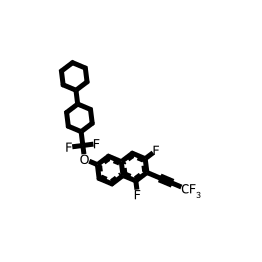 Fc1cc2cc(OC(F)(F)C3CCC(C4CCCCC4)CC3)ccc2c(F)c1C#CC(F)(F)F